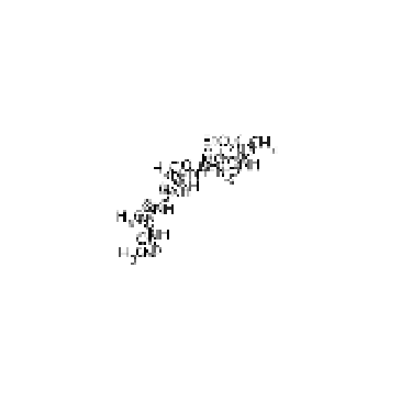 CCOC(=O)c1nc(NC(=O)CC2(CNC(=O)c3cc(NC(=O)c4nc(NC(=O)CCNC(=O)c5cc(NC(=O)c6nccn6C)cn5C)cn4C)cn3C)CC2)cn1C